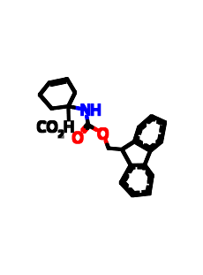 O=C(NC1(C(=O)O)CC=CCC1)OCC1c2ccccc2-c2ccccc21